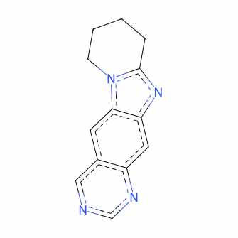 c1ncc2cc3c(cc2n1)nc1n3CCCC1